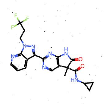 CC1(C(=O)NC2CC2)C(=O)Nc2nc(-c3nn(CCC(F)(F)F)c4ncccc34)ncc21